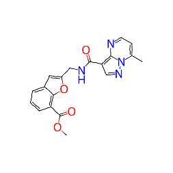 COC(=O)c1cccc2cc(CNC(=O)c3cnn4c(C)ccnc34)oc12